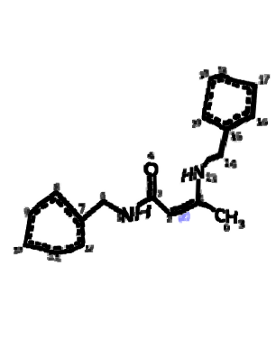 C/C(=C/C(=O)NCc1ccccc1)NCc1ccccc1